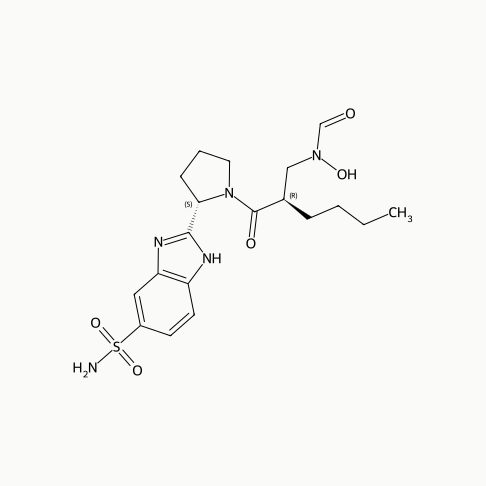 CCCC[C@H](CN(O)C=O)C(=O)N1CCC[C@H]1c1nc2cc(S(N)(=O)=O)ccc2[nH]1